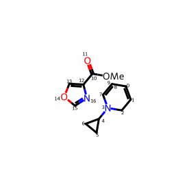 C1=CCN(C2CC2)C=C1.COC(=O)c1cocn1